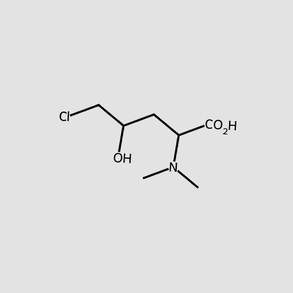 CN(C)C(CC(O)CCl)C(=O)O